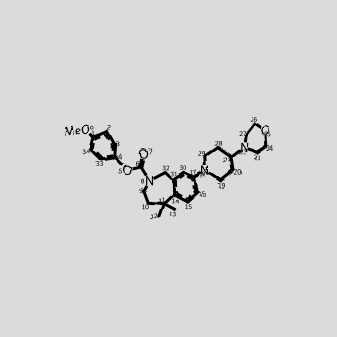 COc1ccc(OC(=O)N2CCC(C)(C)c3ccc(N4CCC(N5CCOCC5)CC4)cc3C2)cc1